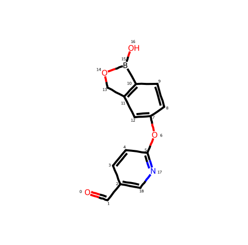 O=Cc1ccc(Oc2ccc3c(c2)COB3O)nc1